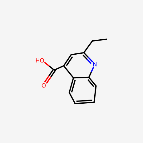 CCc1cc(C(=O)O)c2ccccc2n1